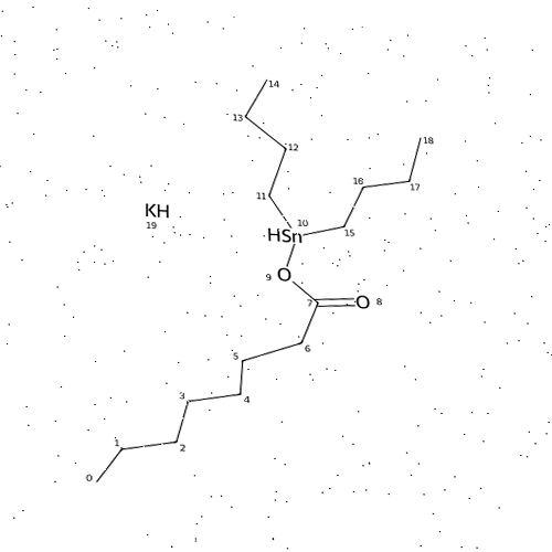 CCCCCCCC(=O)[O][SnH]([CH2]CCC)[CH2]CCC.[KH]